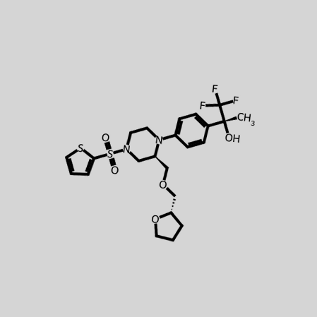 C[C@@](O)(c1ccc(N2CCN(S(=O)(=O)c3cccs3)C[C@@H]2COC[C@@H]2CCCO2)cc1)C(F)(F)F